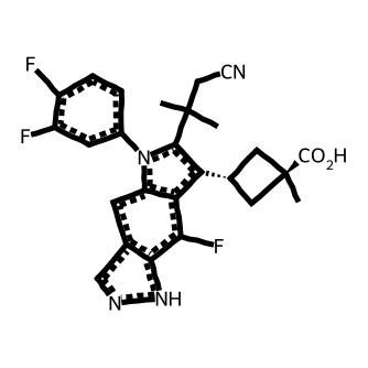 CC(C)(CC#N)c1c([C@H]2C[C@](C)(C(=O)O)C2)c2c(F)c3[nH]ncc3cc2n1-c1ccc(F)c(F)c1